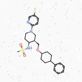 CS(=O)(=O)NC1CCN(c2ccc(F)cn2)C[C@H]1COC1CCC(c2ccccc2)CC1